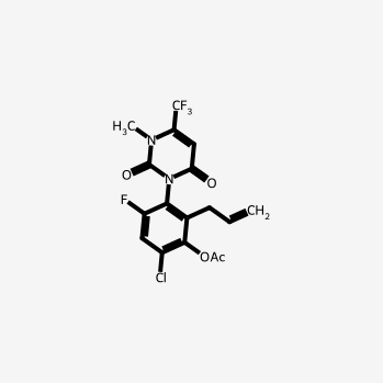 C=CCc1c(OC(C)=O)c(Cl)cc(F)c1-n1c(=O)cc(C(F)(F)F)n(C)c1=O